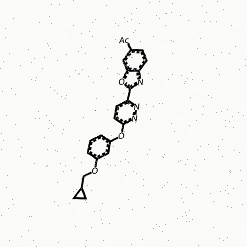 CC(=O)c1ccc2nc(-c3ccc(Oc4cccc(OCC5CC5)c4)nn3)oc2c1